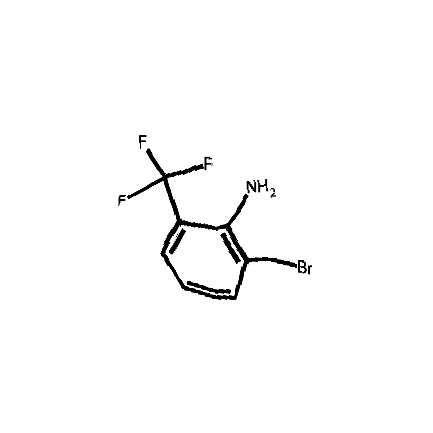 Nc1c(Br)cccc1C(F)(F)F